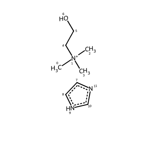 C[N+](C)(C)CCO.c1c[nH]cn1